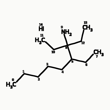 CCCCCC(CC)C(N)(CC)CC.I